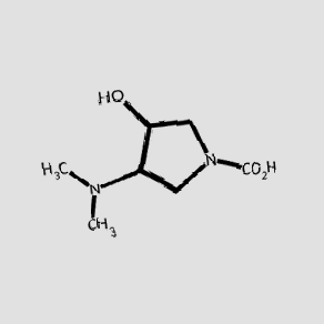 CN(C)C1CN(C(=O)O)CC1O